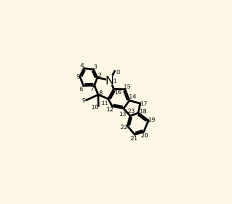 CN1c2ccccc2C(C)(C)c2cc3c(cc21)Cc1ccccc1-3